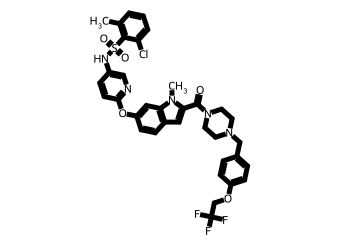 Cc1cccc(Cl)c1S(=O)(=O)Nc1ccc(Oc2ccc3cc(C(=O)N4CCN(Cc5ccc(OCC(F)(F)F)cc5)CC4)n(C)c3c2)nc1